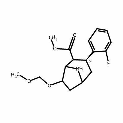 COCOC1CC2C[C@H](c3ccccc3F)C(C(=O)OC)C1N2